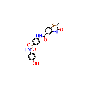 CC1Sc2ccc(C(=O)Nc3ccc(S(=O)(=O)Nc4ccc(O)cc4)cc3)cc2NC1=O